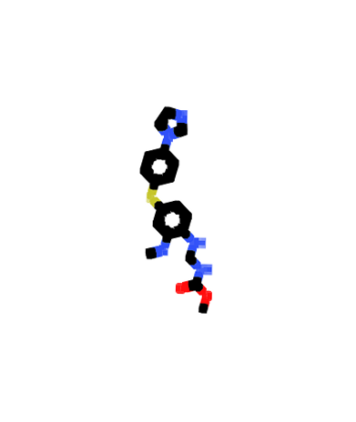 C=Nc1cc(Sc2ccc(-n3ccnc3)cc2)ccc1NCNC(=O)OC